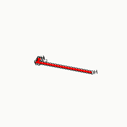 C=C(CC(=O)OCC(CC(C)C(=O)OCCCOCCCOCCCOCCCOCCCOCCCOCCCOCCCOCCCOCCCOCCCOCCCOCCCOCCCOCCCOCCCOCCCOCCCOCCCOCCCO)C(=O)CC)OO